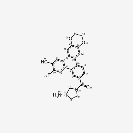 N#Cc1ccc(-c2cc(C(=O)N3CC[C@H](N)C3)ccc2-c2ccc3c(c2)OCCO3)cc1F